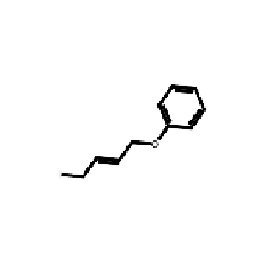 IC/C=C/COc1ccccc1